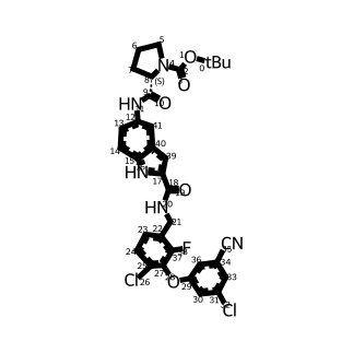 CC(C)(C)OC(=O)N1CCC[C@H]1C(=O)Nc1ccc2[nH]c(C(=O)NCc3ccc(Cl)c(Oc4cc(Cl)cc(C#N)c4)c3F)cc2c1